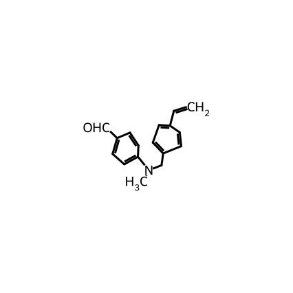 C=Cc1ccc(CN(C)c2ccc(C=O)cc2)cc1